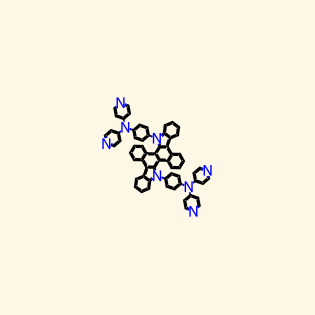 c1ccc2c(c1)c1c3ccccc3n(-c3ccc(N(c4ccncc4)c4ccncc4)cc3)c1c1c3ccccc3c3c4ccccc4n(-c4ccc(N(c5ccncc5)c5ccncc5)cc4)c3c21